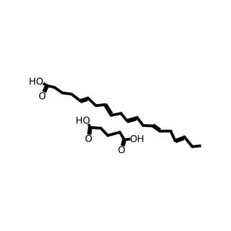 CCC=CCC=CCC=CCC=CCC=CCCCC(=O)O.O=C(O)CCCC(=O)O